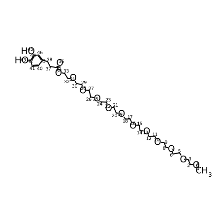 COCCOCCOCCOCCOCCOCCOCCOCCOCCOCCOCCOC(=O)CCc1ccc(O)c(O)c1